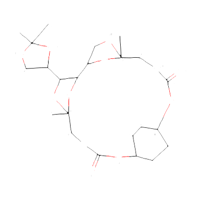 CC1(C)OCC(C2OC3(C)CCC(=O)OC4CCC(CC4)OC(=O)CCC4(C)OCC(O4)C2O3)O1